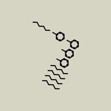 CCCCCC.CCCCCC.CCCCCC.CCCCCC.CCCCCC.Cc1ccccc1.Cc1ccccc1.Cc1ccccc1.Cc1ccccc1